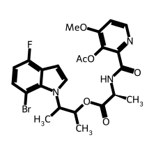 COc1ccnc(C(=O)N[C@@H](C)C(=O)OC(C)C(C)n2ccc3c(F)ccc(Br)c32)c1OC(C)=O